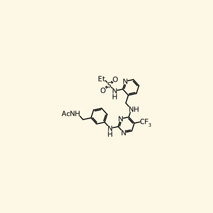 CCS(=O)(=O)Nc1ncccc1CNc1nc(Nc2cccc(CNC(C)=O)c2)ncc1C(F)(F)F